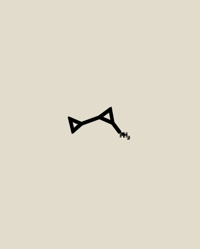 PC1CC1C1CC1